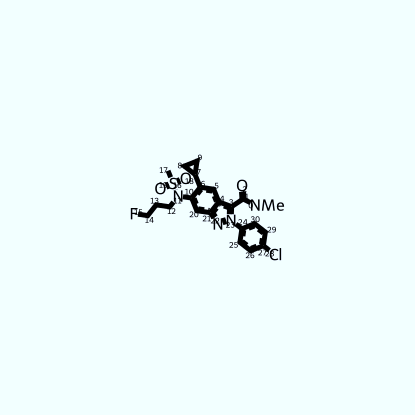 CNC(=O)c1c2cc(C3CC3)c(N(CCCF)S(C)(=O)=O)cc2nn1-c1ccc(Cl)cc1